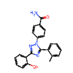 Cc1ccccc1-c1nc(-c2ccccc2O)nn1-c1ccc(C(N)=O)cc1